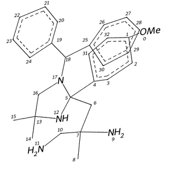 COc1ccc(C2(CC(C)(N)CN)NC(C)(C)CN2C(c2ccccc2)c2ccccc2)cc1